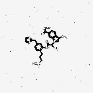 CNC(=O)c1ccc2c(C)cn(C(C)C(=O)Nc3cc(Cc4nccs4)ccc3CCCC(=O)O)c2c1